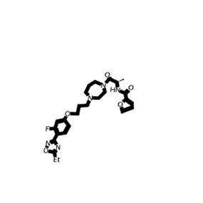 CCc1nc(-c2ccc(OCCCN3CCCN(C(=O)[C@H](C)NC(=O)c4ccco4)CC3)cc2F)no1